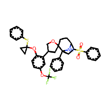 O=S(=O)(c1ccccc1)C1CC2(c3ccccc3)NC1CCC21CC(c2cc(OC(F)(F)F)ccc2OC2(Sc3ccccc3)CC2)CO1